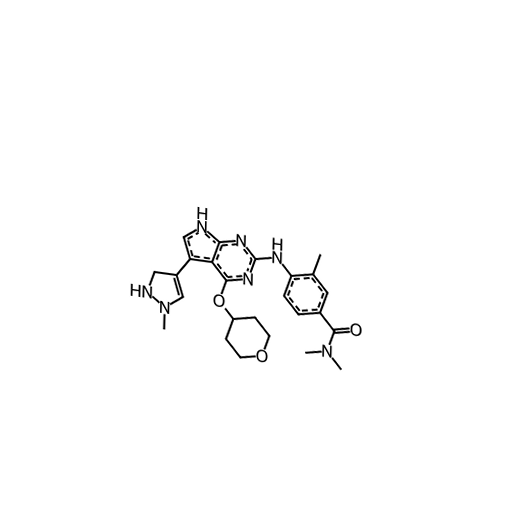 Cc1cc(C(=O)N(C)C)ccc1Nc1nc(OC2CCOCC2)c2c(C3=CN(C)NC3)c[nH]c2n1